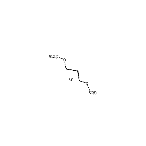 CCOC(=O)OCCCOC(=O)[O-].[Li+]